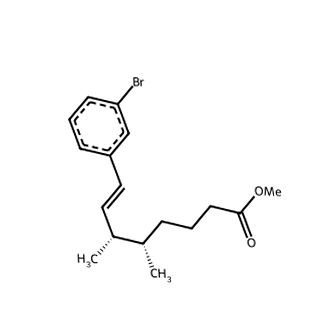 COC(=O)CCC[C@H](C)[C@H](C)/C=C/c1cccc(Br)c1